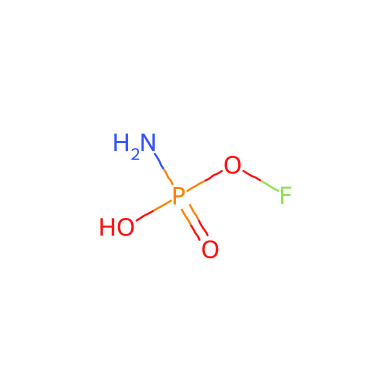 NP(=O)(O)OF